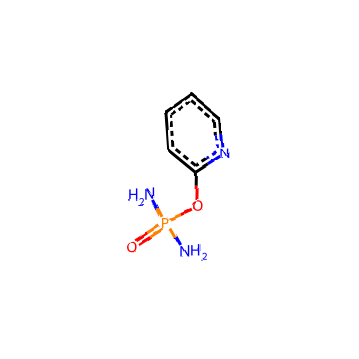 NP(N)(=O)Oc1ccccn1